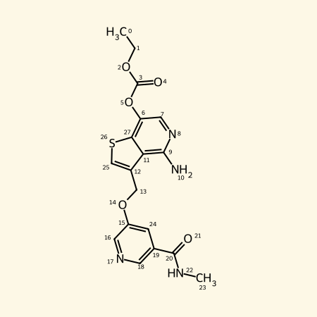 CCOC(=O)Oc1cnc(N)c2c(COc3cncc(C(=O)NC)c3)csc12